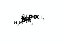 COc1cc(OC)cc([C@@H](C)NC(=O)c2cc(N3CCN(C)CC3)ccc2C)c1